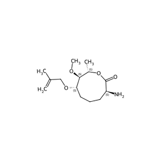 C=C(C)CO[C@H]1CCC[C@H](N)C(=O)O[C@@H](C)[C@@H]1OC